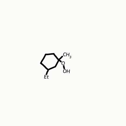 CCC1CCCC(C)(OO)C1